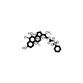 CC[C@@H]1C2C[C@H](O)CC[C@]2(C)C2CC[C@]3(C)C([C@H](C)COC(=O)NS(=O)(=O)C4CCCCC4)CC[C@H]3[C@@H]2[C@@H]1O